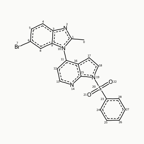 Cc1nc2ccc(Br)cc2n1-c1ccnc2c1ccn2S(=O)(=O)c1ccccc1